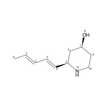 C/C=C/C=C/[C@H]1C[C@@H](O)CCN1